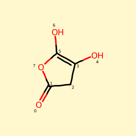 O=C1CC(O)=C(O)O1